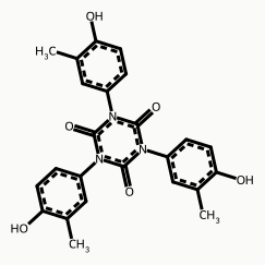 Cc1cc(-n2c(=O)n(-c3ccc(O)c(C)c3)c(=O)n(-c3ccc(O)c(C)c3)c2=O)ccc1O